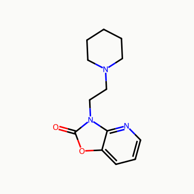 O=c1oc2cccnc2n1CCN1CCCCC1